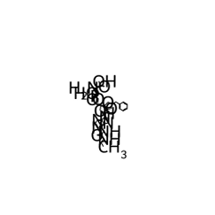 CCNC(=O)Nc1ncnc2c1ncn2[C@@H]1O[C@H](COP(=O)(O)CC(N)C(=O)O)C2OC(Cc3ccccc3)O[C@@H]21